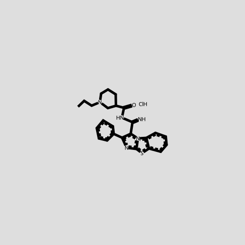 CCCN1CCCC(C(=O)NC(=N)c2c(-c3ccccc3)nc3sc4ccccc4n23)C1.Cl